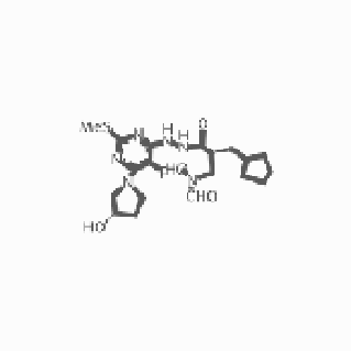 CSc1nc(NNC(=O)[C@@H](CC2CCCC2)CN(O)C=O)c(F)c(N2CC[C@H](O)C2)n1